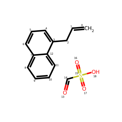 C=CCc1cccc2ccccc12.O=CS(=O)(=O)O